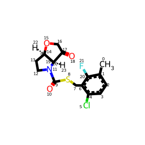 Cc1ccc(Cl)c(CSC(=O)N2CC[C@H]3OCC(=O)[C@H]32)c1F